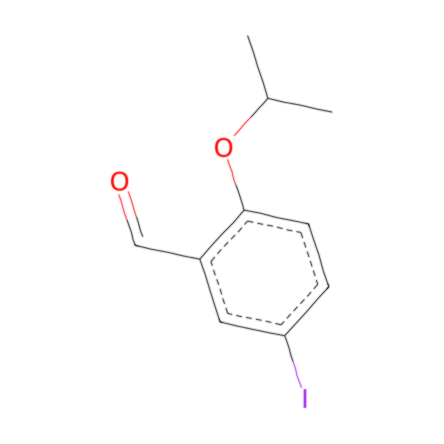 CC(C)Oc1ccc(I)cc1C=O